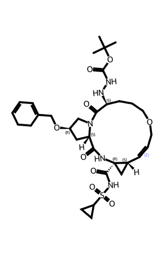 CC(C)(C)OC(=O)NN[C@H]1CCCOC/C=C\[C@@H]2C[C@@]2(C(=O)NS(=O)(=O)C2CC2)NC(=O)[C@@H]2C[C@@H](OCC3=CC=CCC3)CN2C1=O